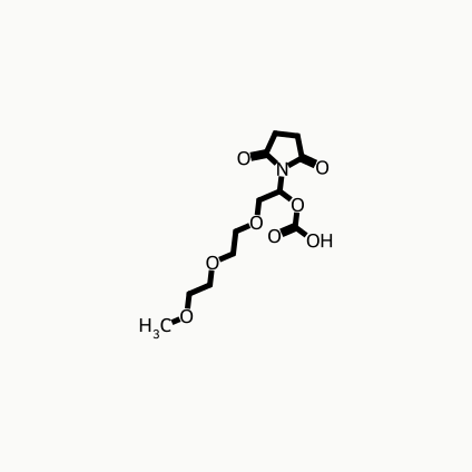 COCCOCCOCC(OC(=O)O)N1C(=O)CCC1=O